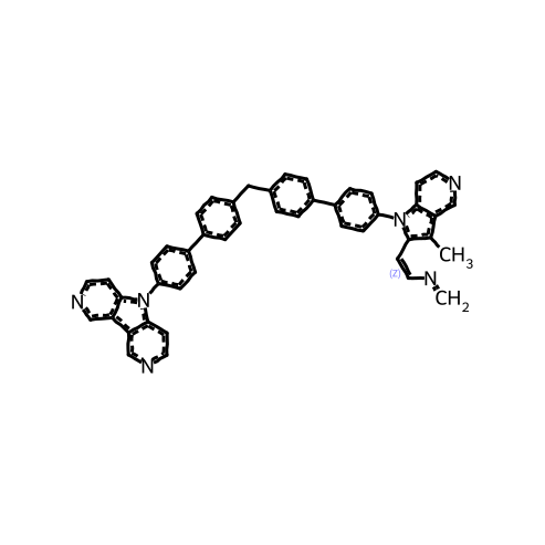 C=N/C=C\c1c(C)c2cnccc2n1-c1ccc(-c2ccc(Cc3ccc(-c4ccc(-n5c6ccncc6c6cnccc65)cc4)cc3)cc2)cc1